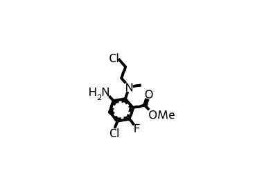 COC(=O)c1c(F)c(Cl)cc(N)c1N(C)CCCl